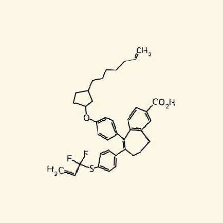 C=CCCCCCC1CCC(Oc2ccc(C3=C(c4ccc(SC(F)(F)C=C)cc4)CCCc4cc(C(=O)O)ccc43)cc2)C1